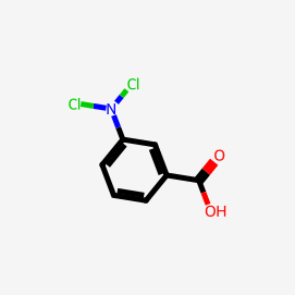 O=C(O)c1cccc(N(Cl)Cl)c1